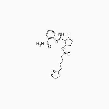 NC(=O)c1cccc2[nH]c(C3NCCC3OC(=O)CCCCC3CCSS3)nc12